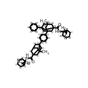 CC12CC3CC(C(=O)N[C@@H]4CN5CCC4CC5)(C1)CC(c1ccc(C45CC6(C)CC(C(=O)N[C@H]7CN8CCC7CC8)(CC(c7ccccc7)(C6)C4)C5)cc1)(C3)C2